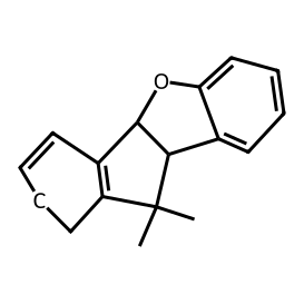 CC1(C)C2=C(C=CCC2)C2Oc3ccccc3C21